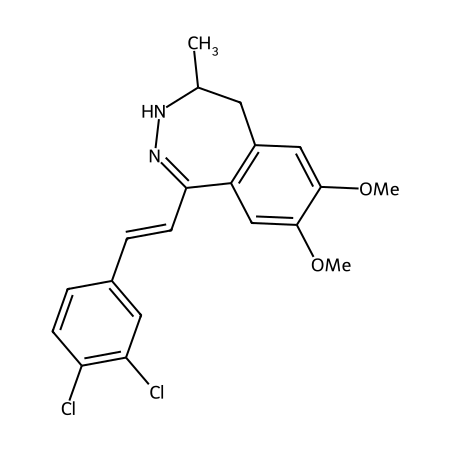 COc1cc2c(cc1OC)C(C=Cc1ccc(Cl)c(Cl)c1)=NNC(C)C2